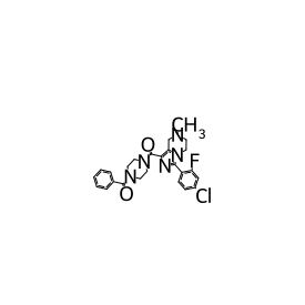 CN1CCn2c(-c3ccc(Cl)cc3F)nc(C(=O)N3CCN(C(=O)c4ccccc4)CC3)c2C1